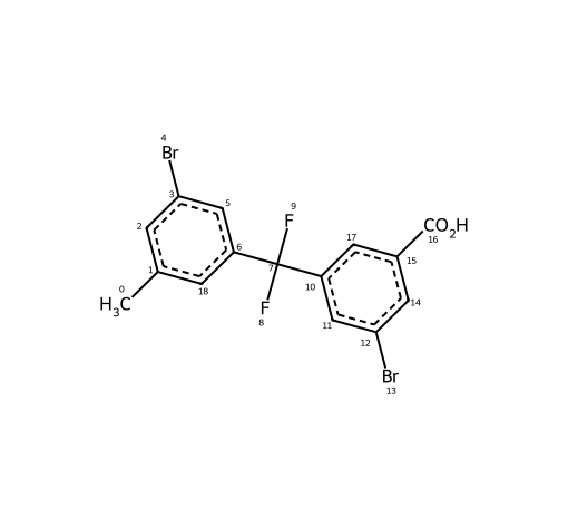 Cc1cc(Br)cc(C(F)(F)c2cc(Br)cc(C(=O)O)c2)c1